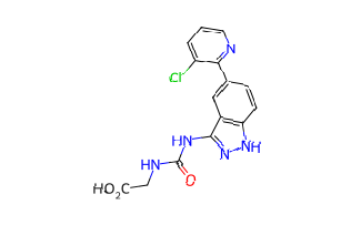 O=C(O)CNC(=O)Nc1n[nH]c2ccc(-c3ncccc3Cl)cc12